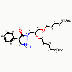 CCCCCCCCCCCCCCOCC(CNC(=O)C(CN)c1ccccc1)OCCCCCCCCCCCCCC